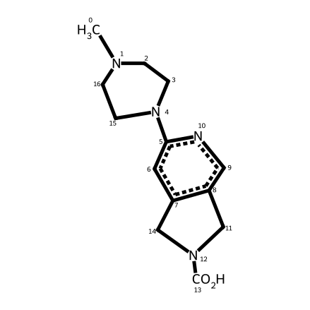 CN1CCN(c2cc3c(cn2)CN(C(=O)O)C3)CC1